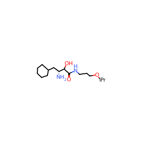 CC(C)OCCCNC(=O)C(O)[C@H](N)CC1CCCCC1